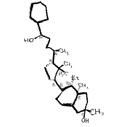 CC[C@H]1[C@H]([C@@H]2CC[C@H]([C@H](C)CC[C@@H](O)C3CCCCC3)C2(C)C)CC=C2C[C@@](C)(O)CC[C@@]21C